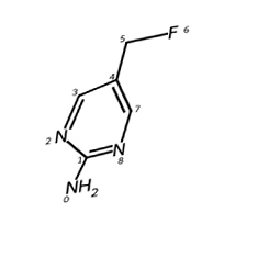 Nc1ncc(CF)cn1